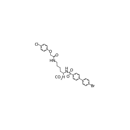 O=C(COc1ccc(Cl)cc1)NCCCCC(NS(=O)(=O)c1ccc(-c2ccc(Br)cc2)cc1)C(=O)O